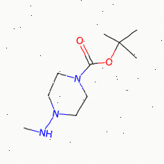 CNN1CCN(C(=O)OC(C)(C)C)CC1